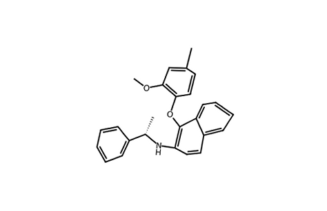 COc1cc(C)ccc1Oc1c(N[C@@H](C)c2ccccc2)ccc2ccccc12